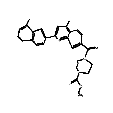 CCCOC(=O)N1CCN(C(=O)c2ccc3c(Cl)cc(-c4ccc5c(c4)C(C)=CCC5)nc3c2)CC1